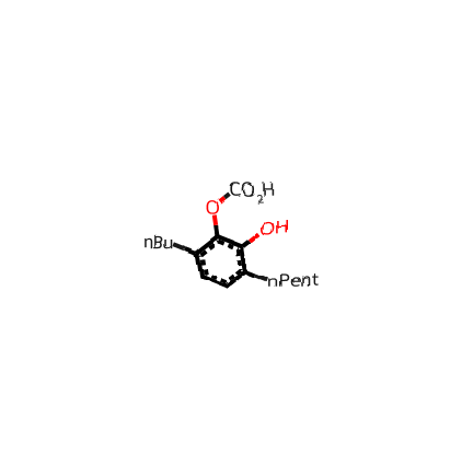 CCCCCc1ccc(CCCC)c(OC(=O)O)c1O